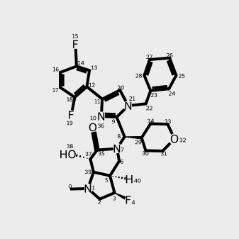 CN1C[C@H](F)[C@@H]2CN([C@@H](c3nc(-c4cc(F)ccc4F)cn3Cc3ccccc3)C3CCOCC3)C(=O)[C@@H](O)C21